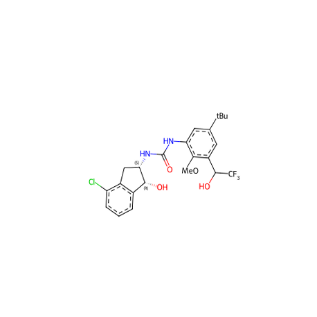 COc1c(NC(=O)N[C@H]2Cc3c(Cl)cccc3[C@H]2O)cc(C(C)(C)C)cc1C(O)C(F)(F)F